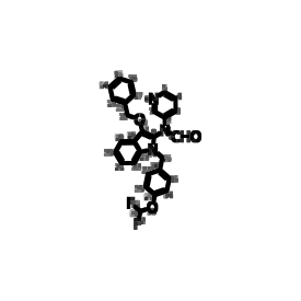 O=CN(c1cccnc1)c1c(OCc2ccccc2)c2ccccc2n1Cc1ccc(OC(F)F)cc1